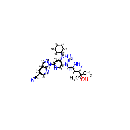 CC(C)(O)CC/C(N)=C/N(N)c1cnc(-n2ncc3cc(C#N)cnc32)cc1NC1CCCCC1